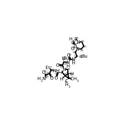 CCC(NC(=O)[C@@H]1[C@@H]2[C@H](CN1C(=O)[C@@H](NC(=O)N[C@H](CN1CCCN(C)S1(=O)=O)C(C)(C)C)C(C)(C)C)C2(C)C)C(=O)C(N)=O